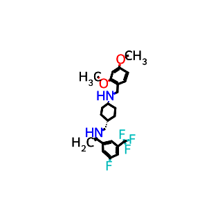 C=C(NC[C@H]1CC[C@@H](NCc2ccc(OC)cc2OC)CC1)c1cc(F)cc(C(F)(F)F)c1